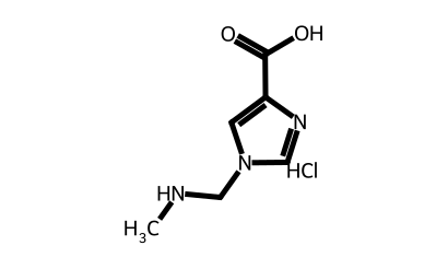 CNCn1cnc(C(=O)O)c1.Cl